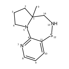 CC12CCCN1c1ncccc1SNC2